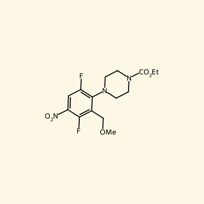 CCOC(=O)N1CCN(c2c(F)cc([N+](=O)[O-])c(F)c2COC)CC1